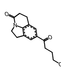 O=C(CCCCl)c1cc2c3c(c1)CCN3C(=O)CC2